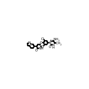 C=C1NC(=O)N(c2cc(Cl)c(Oc3cc(-c4ccc5ccnn5c4)c(=O)[nH]n3)c(Cl)c2)N=C1N